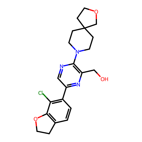 OCc1nc(-c2ccc3c(c2Cl)OCC3)cnc1N1CCC2(CCOC2)CC1